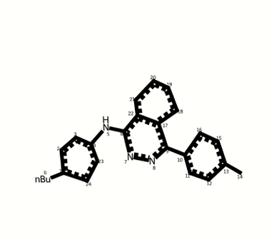 CCCCc1ccc(Nc2nnc(-c3ccc(C)cc3)c3ccccc23)cc1